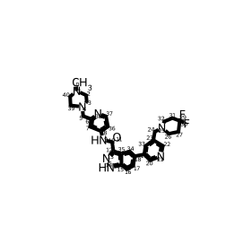 CN1CCN(Cc2cc(NC(=O)c3n[nH]c4ccc(-c5cncc(CN6CCC(F)(F)CC6)c5)cc34)ccn2)CC1